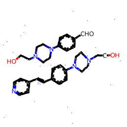 O=Cc1ccc(N2CCN(CCO)CC2)cc1.OCCN1CCN(c2ccc(/C=C/c3ccncc3)cc2)CC1